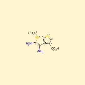 NC1=C(N)[SH](C(=O)O)c2scc(C(=O)O)c21